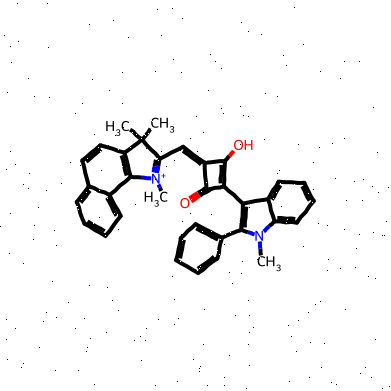 Cn1c(-c2ccccc2)c(C2=C(O)/C(=C/C3=[N+](C)c4c(ccc5ccccc45)C3(C)C)C2=O)c2ccccc21